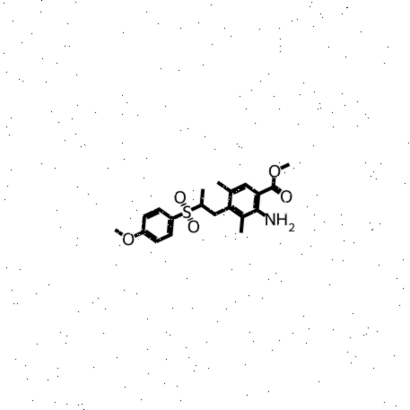 COC(=O)c1cc(C)c(CC(C)S(=O)(=O)c2ccc(OC)cc2)c(C)c1N